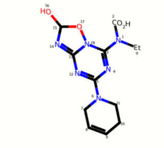 CCN(C(=O)O)C1=NC(N2CC=CCC2)=NC2=NC(O)ON21